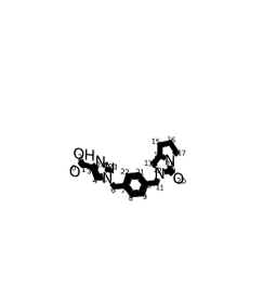 O=C(O)c1cn(Cc2ccc(CN3CC4CCCN4C3=O)cc2)nn1